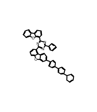 C1=CCC(c2ccc(-c3ccc(-c4ccc5c(c4)oc4cccc(-c6nc(-c7ccccc7)nc(-c7cccc8c7oc7ccccc78)n6)c45)cc3)cc2)C=C1